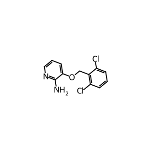 Nc1ncccc1OCc1c(Cl)cccc1Cl